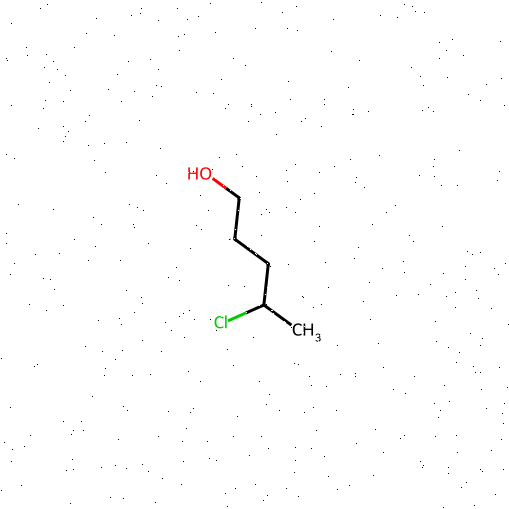 CC(Cl)C[CH]CO